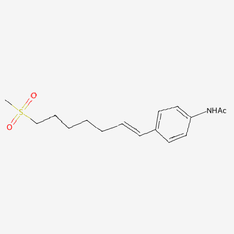 CC(=O)Nc1ccc(C=CCCCCCS(C)(=O)=O)cc1